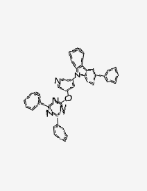 c1ccc(-c2ccc3c(c2)c2ccccc2n3-c2cncc(Oc3nc(-c4ccccc4)nc(-c4ccccc4)n3)c2)cc1